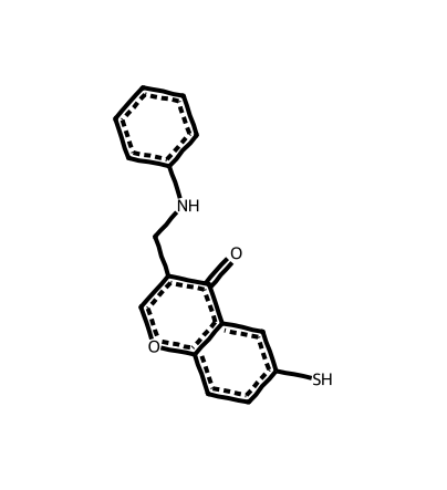 O=c1c(CNc2ccccc2)coc2ccc(S)cc12